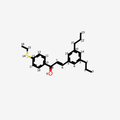 CCCc1cc(C=CC(=O)c2ccc(SCC)cc2)cc(CCC)c1